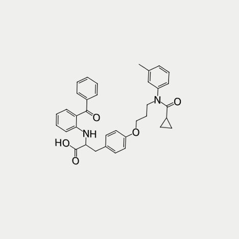 Cc1cccc(N(CCCOc2ccc(CC(Nc3ccccc3C(=O)c3ccccc3)C(=O)O)cc2)C(=O)C2CC2)c1